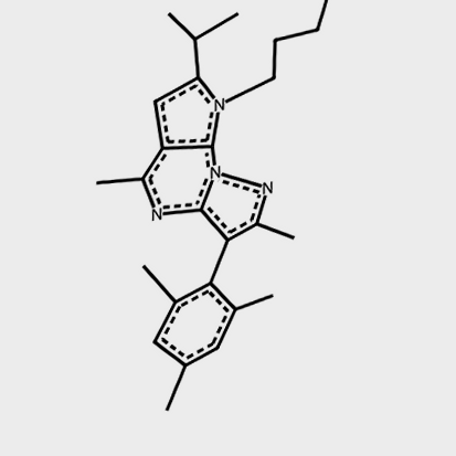 [CH2]CCCn1c(C(C)C)cc2c(C)nc3c(-c4c(C)cc(C)cc4C)c(C)nn3c21